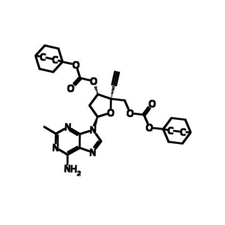 C#C[C@]1(COC(=O)OC23CCC(CC2)CC3)O[C@@H](n2cnc3c(N)nc(C)nc32)C[C@@H]1OC(=O)OC12CCC(CC1)CC2